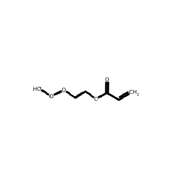 C=CC(=O)OCCOOO